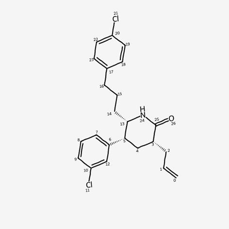 C=CC[C@@H]1C[C@H](c2cccc(Cl)c2)[C@H](CCCc2ccc(Cl)cc2)NC1=O